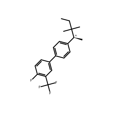 CCC(C)(C)[C@@H](C)c1ccc(-c2ccc(F)c(C(F)(F)F)c2)cc1